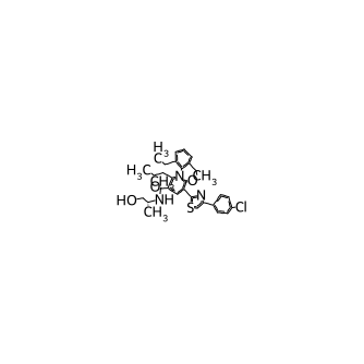 CCc1cccc(CC)c1-n1c(CC(C)C)c(C(=O)N[C@H](C)CO)cc(-c2nc(-c3ccc(Cl)cc3)cs2)c1=O